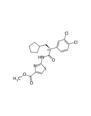 COC(=O)c1csc(NC(=O)[C@@H](CC2CCCC2)c2ccc(Cl)c(Cl)c2)n1